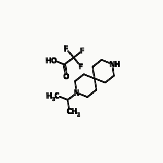 CC(C)N1CCC2(CCNCC2)CC1.O=C(O)C(F)(F)F